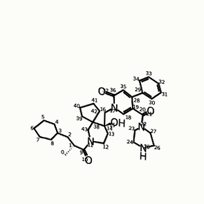 C[C@H](CC1CCCCC1)C(=O)N1CC[C@@](O)(Cn2cc(C(=O)N3CCNCC3)c(-c3ccccc3)cc2=O)C2(CCCC2)C1